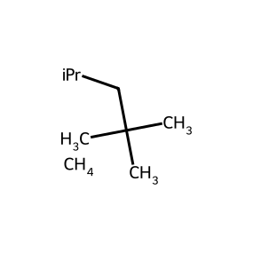 C.CC(C)CC(C)(C)C